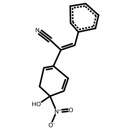 N#CC(=Cc1ccccc1)C1=CCC(O)([N+](=O)[O-])C=C1